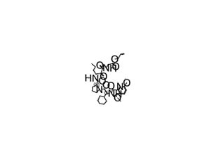 C=CCOC(=O)CNC(=O)C(=O)C(CCC)NC(=O)[C@@H]1CCCN1C(=O)[C@@H](NC(=O)c1nc(OC)ccc1OC)C1CCCCC1